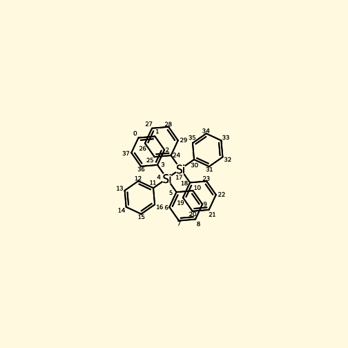 c1ccc([Si](c2ccccc2)(c2ccccc2)[Si](c2ccccc2)(c2ccccc2)c2ccccc2)cc1